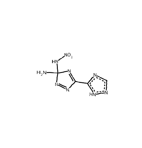 NC1(N[N+](=O)[O-])N=NC(c2ncn[nH]2)=N1